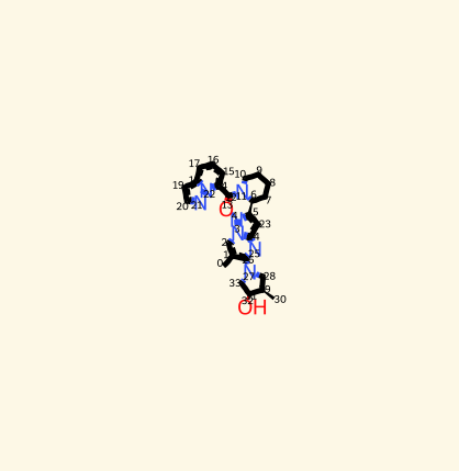 Cc1cn2nc([C@@H]3CCCCN3C(=O)c3cccc4ccnn34)cc2nc1N1C[C@@H](C)[C@@H](O)C1